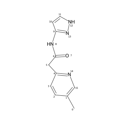 Cc1ccc(CC(=O)Nc2cc[nH]n2)nc1